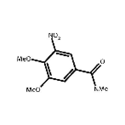 CNC(=O)c1cc(OC)c(OC)c([N+](=O)[O-])c1